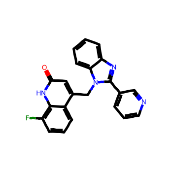 O=c1cc(Cn2c(-c3cccnc3)nc3ccccc32)c2cccc(F)c2[nH]1